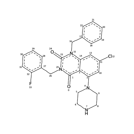 O=c1c2c(N3CCNCC3)cc(Cl)cc2n(Cc2ccccc2)c(=O)n1Cc1ccccc1F